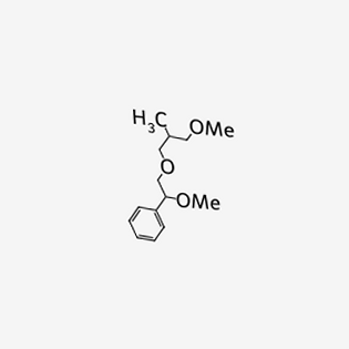 COCC(C)COCC(OC)c1ccccc1